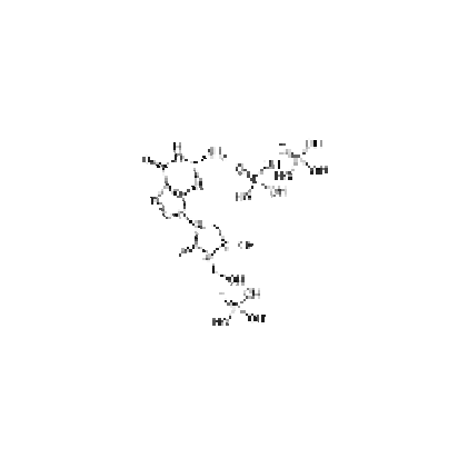 C=C1[C@H](CO)[C@@H](O)C[C@@H]1n1cnc2c(=O)[nH]c(N)nc21.O=P(O)(O)O.O=P(O)(O)O.O=P(O)(O)O